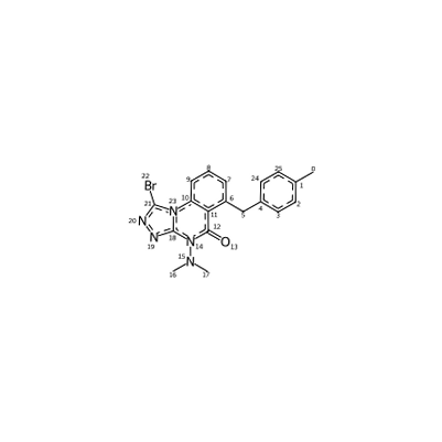 Cc1ccc(Cc2cccc3c2c(=O)n(N(C)C)c2nnc(Br)n32)cc1